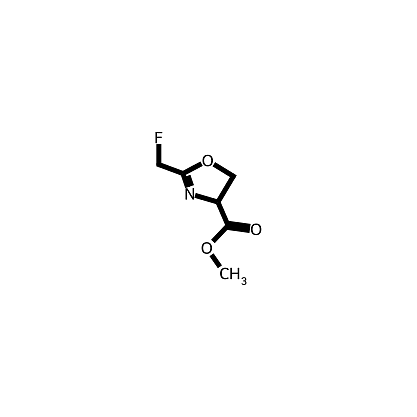 COC(=O)C1COC(CF)=N1